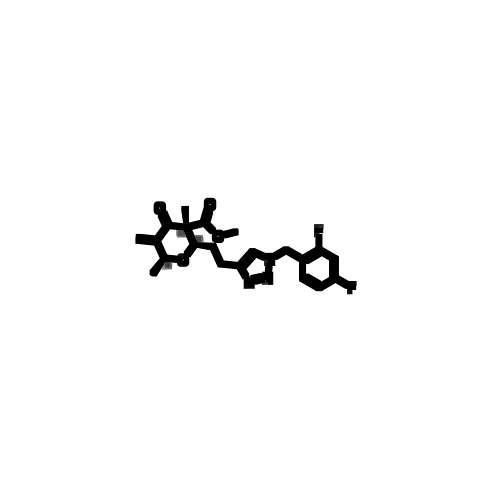 C=C1C(=O)[C@](C)(C(=O)OC)[C@@H](CCc2cn(Cc3ccc(F)cc3F)nn2)O[C@H]1C